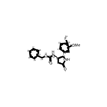 COc1cc([C@@H]2NC(=O)C[C@H]2NC(=O)OCc2ccccc2)ccc1F